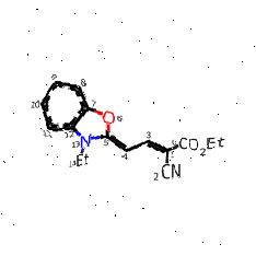 CCOC(=O)/C(C#N)=C/C=C1\Oc2ccccc2N1CC